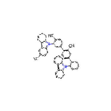 N#Cc1ccc2c(c1)c1c(n2-c2cc(-c3ccc(-c4ccccc4-n4c5ccccc5c5ccccc54)cc3C#N)ccc2C#N)CCC=C1